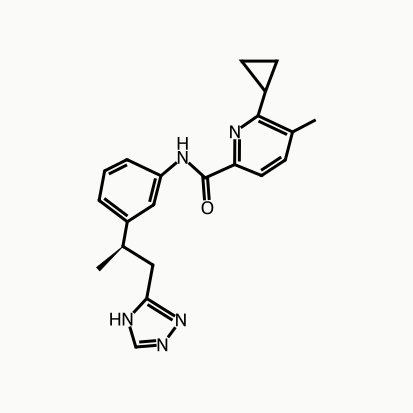 Cc1ccc(C(=O)Nc2cccc([C@H](C)Cc3nnc[nH]3)c2)nc1C1CC1